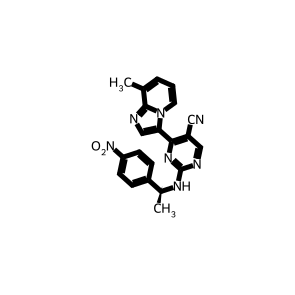 Cc1cccn2c(-c3nc(N[C@@H](C)c4ccc([N+](=O)[O-])cc4)ncc3C#N)cnc12